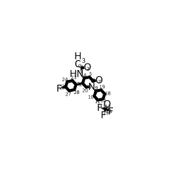 CC(=O)Nc1cc(=O)n(-c2ccc(OC(F)(F)F)cc2)cc1-c1ccc(F)cc1